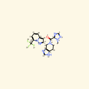 Cn1ncnc1C(=O)N1CCc2[nH]cnc2[C@@H]1c1cc2cccc(C(F)(F)F)n2n1